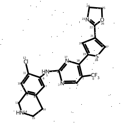 FC(F)(F)c1cnc(Nc2cc3c(cc2Cl)CNCC3)nc1-c1cc(C2=NCCO2)cs1